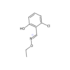 CCO/N=C/c1c(O)cccc1Cl